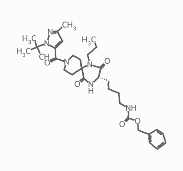 CCCN1C(=O)[C@H](CCCCNC(=O)OCc2ccccc2)NC(=O)C12CCN(C(=O)c1cc(C)nn1C(C)(C)C)CC2